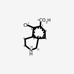 O=C(O)c1ccc2c(c1Cl)CCNC2